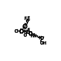 O=C(Nc1ccc(Cl)cc1N1CCN(CCC(F)(F)F)CC1)c1ccc(CNCCN2CCCC2CO)cc1F